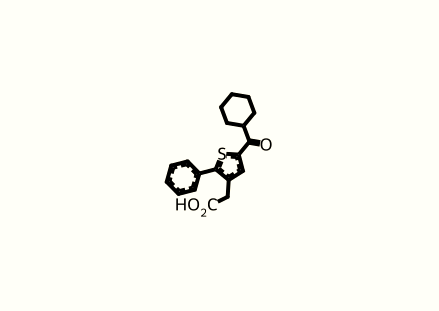 O=C(O)Cc1cc(C(=O)C2CCCCC2)sc1-c1ccccc1